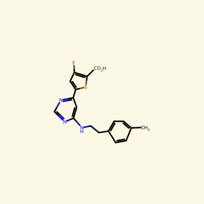 Cc1ccc(CCNc2cc(-c3cc(F)c(C(=O)O)s3)ncn2)cc1